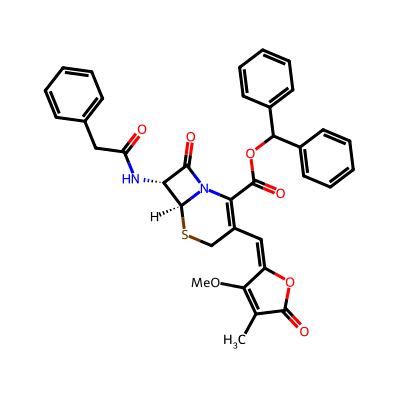 COC1=C(C)C(=O)O/C1=C/C1=C(C(=O)OC(c2ccccc2)c2ccccc2)N2C(=O)[C@@H](NC(=O)Cc3ccccc3)[C@@H]2SC1